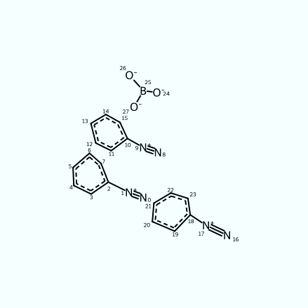 N#[N+]c1ccccc1.N#[N+]c1ccccc1.N#[N+]c1ccccc1.[O-]B([O-])[O-]